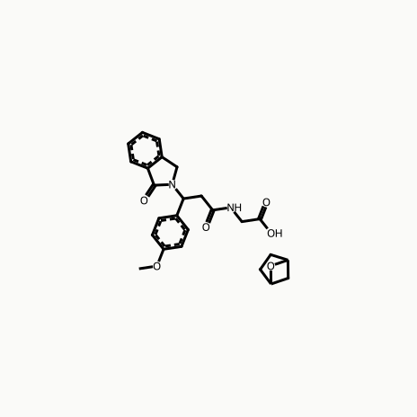 C1CC2CC1O2.COc1ccc(C(CC(=O)NCC(=O)O)N2Cc3ccccc3C2=O)cc1